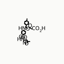 Cc1ccc(C(Nc2ccc(S(=O)(=O)Nc3cc(C)on3)cc2)OC(=O)CC(=O)O)cc1